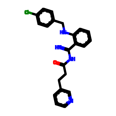 N=C(NC(=O)CCc1cccnc1)c1ccccc1NCc1ccc(Cl)cc1